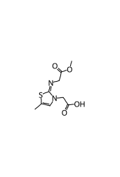 COC(=O)CN=c1sc(C)cn1CC(=O)O